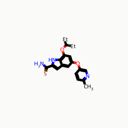 CCC(CC)Oc1cc(Oc2ccc(C)nc2)cc2cc(C(N)=S)[nH]c12